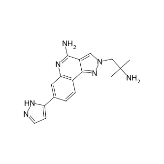 CC(C)(N)Cn1cc2c(N)nc3cc(-c4ccn[nH]4)ccc3c2n1